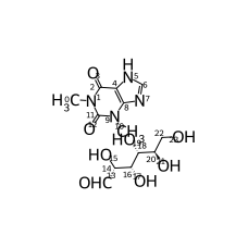 Cn1c(=O)c2[nH]cnc2n(C)c1=O.O=C[C@H](O)[C@@H](O)[C@H](O)[C@H](O)CO